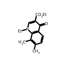 CCOC(=O)c1cn(CC)c2c(C)c(C)ccc2c1=O